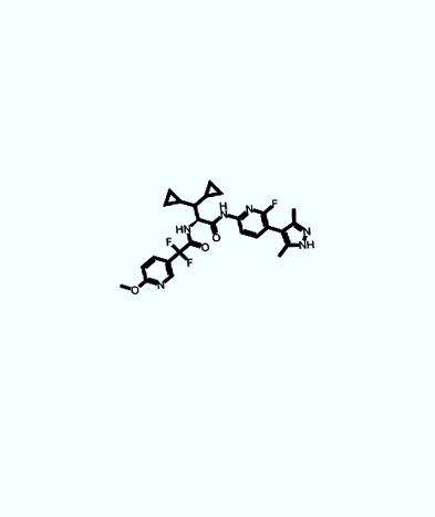 COc1ccc(C(F)(F)C(=O)N[C@H](C(=O)Nc2ccc(-c3c(C)n[nH]c3C)c(F)n2)C(C2CC2)C2CC2)cn1